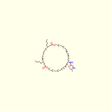 CCCCC1CCCCCCC(CCCC)CC(=O)OCCCCCCCCCCC(NC(=O)CN(C)C(C)C)CCCCCCCCCCOC(=O)C1